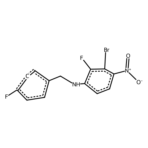 O=[N+]([O-])c1ccc(NCc2ccc(F)cc2)c(F)c1Br